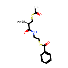 CC(=O)N[C@@H](CSC(=O)C(C)(C)C)C(=O)NCCSC(=O)c1ccccc1